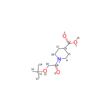 COC(=O)C1CCN(C(=O)COC(C)(C)C)CC1